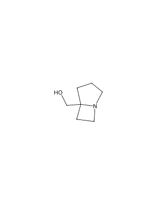 OCC12CCCN1CC2